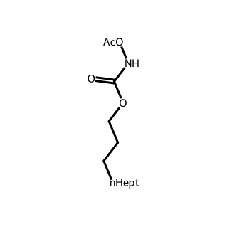 CCCCCCCCCCOC(=O)NOC(C)=O